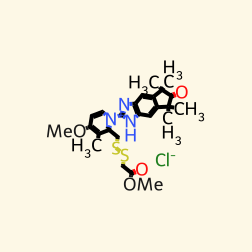 COC(=O)CSSCc1c(C)c(OC)cc[n+]1-c1nc2cc3c(cc2[nH]1)C(C)(C)C(=O)C3(C)C.[Cl-]